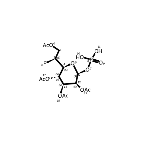 CC(=O)OC[C@H](F)[C@H]1O[C@@H](OP(=O)(O)O)[C@@H](OC(C)=O)[C@@H](OC(C)=O)[C@@H]1OC(C)=O